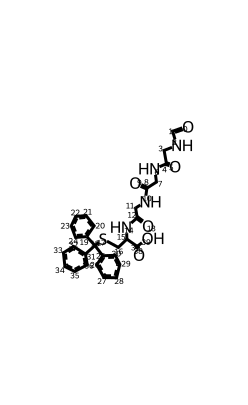 O=CNCC(=O)NCC(=O)NCC(=O)NC(CSC(c1ccccc1)(c1ccccc1)c1ccccc1)C(=O)O